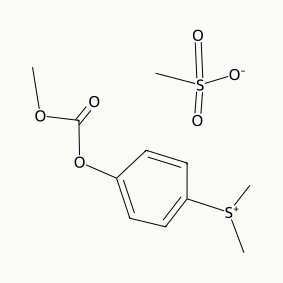 COC(=O)Oc1ccc([S+](C)C)cc1.CS(=O)(=O)[O-]